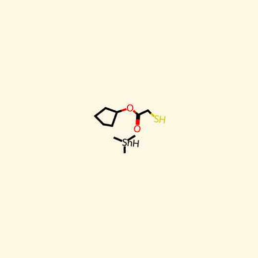 O=C(CS)OC1CCCC1.[CH3][SnH]([CH3])[CH3]